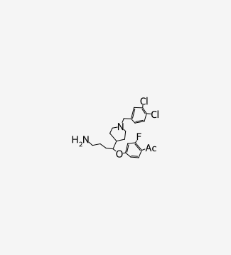 CC(=O)c1ccc(OC(CCCN)C2CCN(Cc3ccc(Cl)c(Cl)c3)CC2)cc1F